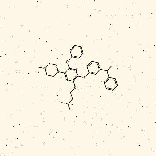 CC(c1ccccc1)c1cccc(Sc2nc(Oc3ccccc3)c(N3CCN(C)CC3)nc2OCCN(C)C)c1